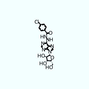 O=C(NNc1ncnc2c1ncn2[C@@H]1O[C@H](CO)[C@@H](O)[C@H]1O)c1ccc(Cl)cc1